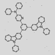 c1ccc(N(c2ccccc2)c2ccc(-c3cc(-c4ccc5c(c4)c4ccccc4n5-c4ccccc4)cc(-c4ccc5c(c4)c4ccccc4n5-c4ccccc4)c3)nc2)cc1